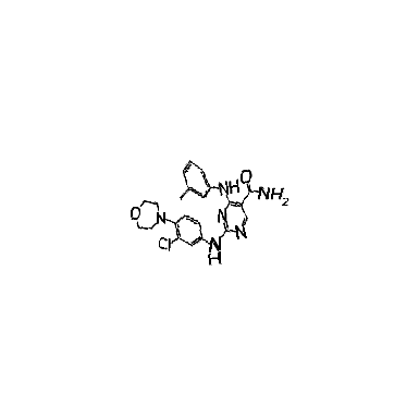 Cc1cccc(Nc2nc(Nc3ccc(N4CCOCC4)c(Cl)c3)ncc2C(N)=O)c1